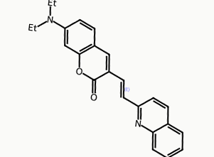 CCN(CC)c1ccc2cc(/C=C/c3ccc4ccccc4n3)c(=O)oc2c1